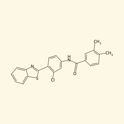 Cc1ccc(C(=O)Nc2ccc(-c3nc4ccccc4s3)c(Cl)c2)cc1C